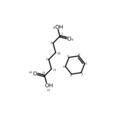 C1=CCCCC1.O=C(O)CCCCC(=O)O